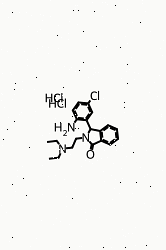 CCN(CC)CCN1C(=O)c2ccccc2C1c1cc(Cl)ccc1N.Cl.Cl